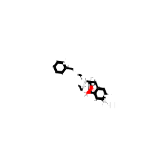 O=C(OCc1ccccc1)N1CC[C@@]23CCCC[C@@H]2[C@@H]1Cc1ccc(O)cc13